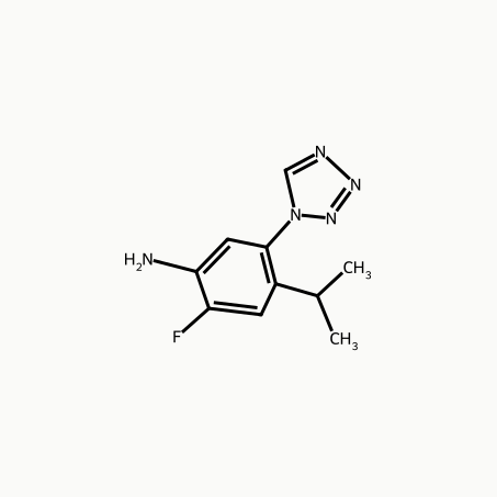 CC(C)c1cc(F)c(N)cc1-n1cnnn1